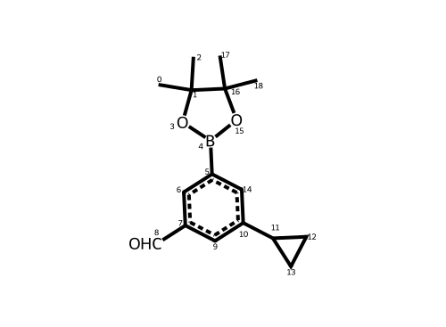 CC1(C)OB(c2cc(C=O)cc(C3CC3)c2)OC1(C)C